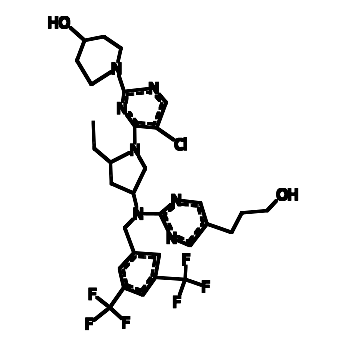 CCC1CC(N(Cc2cc(C(F)(F)F)cc(C(F)(F)F)c2)c2ncc(CCCO)cn2)CN1c1nc(N2CCC(O)CC2)ncc1Cl